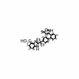 CCC(CC)(c1ccc(-c2ccccc2-c2nc(=S)o[nH]2)cc1)c1nc2c(C(=O)O)cccc2[nH]1